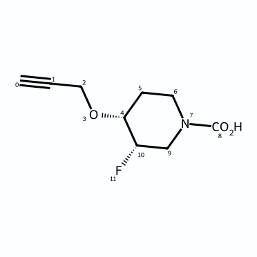 C#CCO[C@@H]1CCN(C(=O)O)C[C@@H]1F